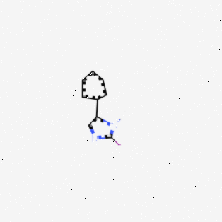 Cn1c(-c2ccccc2)cnc1I